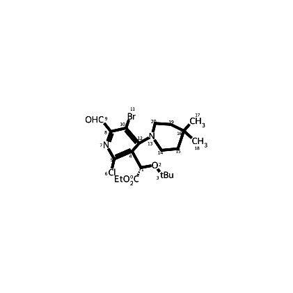 CCOC(=O)[C@@H](OC(C)(C)C)c1c(Cl)nc(C=O)c(Br)c1N1CCC(C)(C)CC1